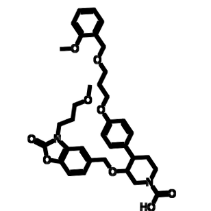 COCCCn1c(=O)oc2ccc(COC3CN(C(=O)O)CCC3c3ccc(OCCCOCc4ccccc4OC)cc3)cc21